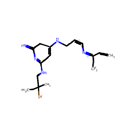 C=C/C(=N\C=C/CNC1=CC(NCC(C)(C)S)=NC(=N)C1)C(F)(F)F